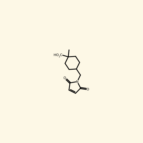 CC1(C(=O)O)CCC(CN2C(=O)C=CC2=O)CC1